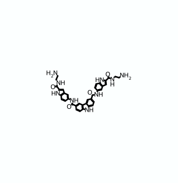 NCCNC(=O)c1cc2cc(NC(=O)c3ccc4[nH]c5ccc(C(=O)Nc6ccc7[nH]c(C(=O)NCCN)cc7c6)cc5c4c3)ccc2[nH]1